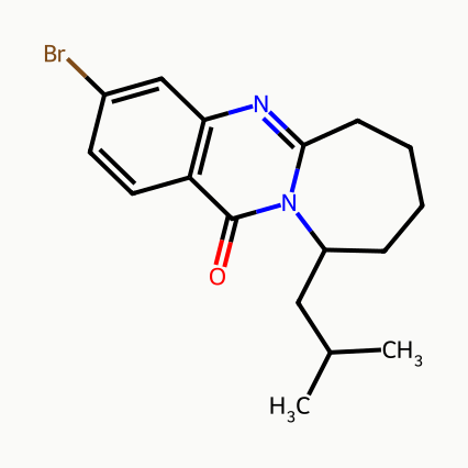 CC(C)CC1CCCCc2nc3cc(Br)ccc3c(=O)n21